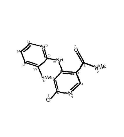 CNC(=O)c1cnc(Cl)cc1Nc1ncccc1SC